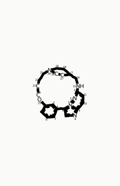 c1cc2cc(c1)-c1cnc3ccc(nn13)NCC1CCN(CCCCO2)CC1